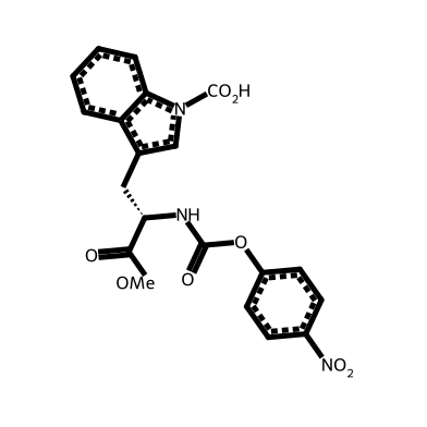 COC(=O)[C@H](Cc1cn(C(=O)O)c2ccccc12)NC(=O)Oc1ccc([N+](=O)[O-])cc1